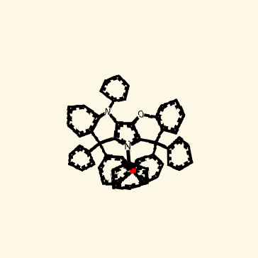 c1ccc(N2c3ccccc3C(c3ccccc3)(c3ccccc3)c3c2c2c(n3-c3ccccc3)C(c3ccccc3)(c3ccccc3)c3ccccc3O2)cc1